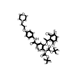 CC(Oc1cc(C(=O)Nc2ccc(OCCN3CCOCC3)cc2)nnc1N(C(=O)OC(C)(C)C)C(=O)OC(C)(C)C)c1c(Cl)ccc(F)c1Cl